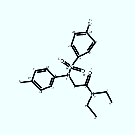 CCN(CC)C(=O)CN(c1ccc(C)cc1)S(=O)(=O)c1ccc(Br)cc1